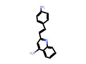 Nc1ccc(C=Cc2cc(N)c3ccccc3n2)cc1